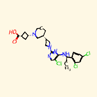 C[C@@H](Nc1nc(N2CC([C@H]3CCCN([C@H]4C[C@@H](C(=O)O)C4)C3)C2)ncc1Cl)c1ccc(Cl)cc1Cl